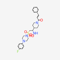 O=C(C=Cc1ccccc1)N1CCC(C(CS(=O)(=O)N2CCN(c3ccc(F)cc3)CC2)NO)CC1